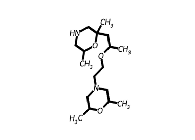 CC(CC1(C)CNCC(C)O1)OCCN1CC(C)OC(C)C1